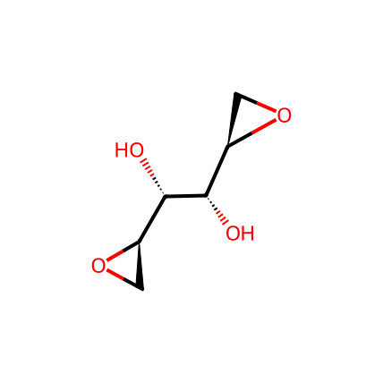 O[C@H]([C@@H](O)[C@H]1CO1)[C@H]1CO1